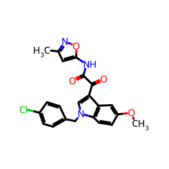 COc1ccc2c(c1)c(C(=O)C(=O)Nc1cc(C)no1)cn2Cc1ccc(Cl)cc1